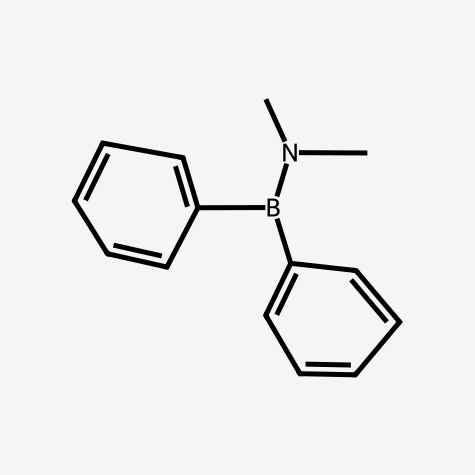 CN(C)B(c1ccccc1)c1ccccc1